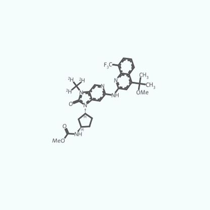 [2H]C([2H])([2H])n1c(=O)n([C@@H]2CC[C@@H](NC(=O)OC)C2)c2cc(Nc3cc(C(C)(C)OC)c4cccc(C(F)(F)F)c4n3)ncc21